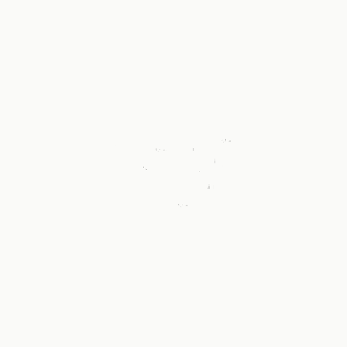 CO[SiH2]C(CCN=C=O)([SiH2]OC)[SiH2]OC